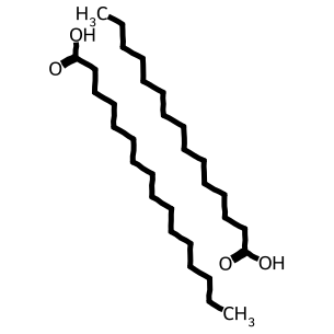 CCCCCCCCCCCCCCC(=O)O.CCCCCCCCCCCCCCCC(=O)O